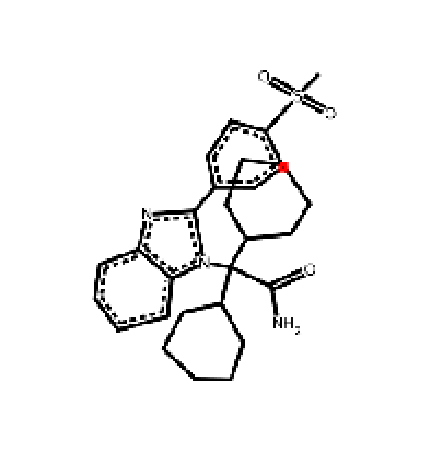 CS(=O)(=O)c1ccc(-c2nc3ccccc3n2C(C(N)=O)(C2CCCCC2)C2CCCCC2)cc1